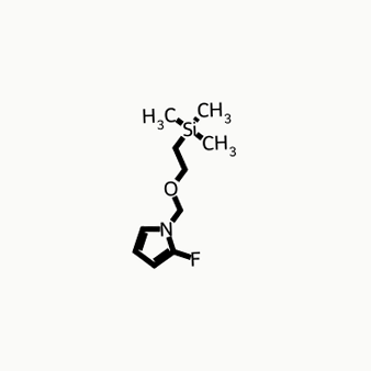 C[Si](C)(C)CCOCn1cccc1F